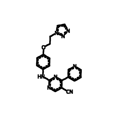 N#Cc1cnc(Nc2ccc(OCCn3ccnn3)cc2)nc1-c1cccnc1